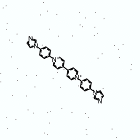 c1cn(-c2ccc(-[n+]3ccc(-c4cc[n+](-c5ccc(-n6ccnc6)cc5)cc4)cc3)cc2)cn1